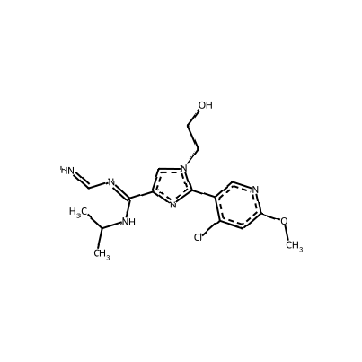 COc1cc(Cl)c(-c2nc(/C(=N/C=N)NC(C)C)cn2CCO)cn1